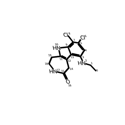 CCNc1cc(Cl)c(Cl)c2[nH]c3c(c12)CC(=O)NCC3